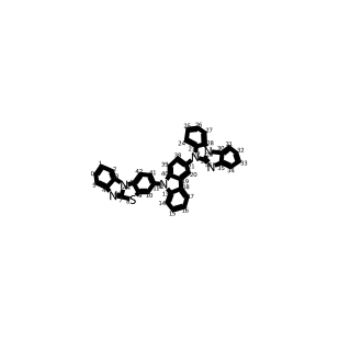 c1ccc2c(c1)nc1sc3cc(-n4c5ccccc5c5cc(-n6c7ccccc7n7c8ccccc8nc67)ccc54)ccc3n12